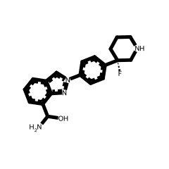 NC(O)c1cccc2cn(-c3ccc([C@@]4(F)CCCNC4)cc3)nc12